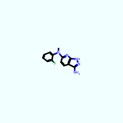 CN(c1ccc2c(N)n[nH]c2n1)c1ccccc1F